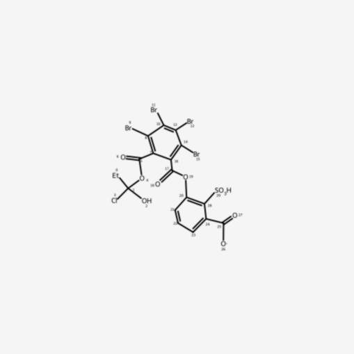 CCC(O)(Cl)OC(=O)c1c(Br)c(Br)c(Br)c(Br)c1C(=O)Oc1cccc(C([O])=O)c1S(=O)(=O)O